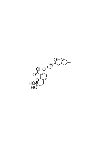 C[C@@H]1CN[C@H](CC(=O)N2CC(Oc3ccc4c(c3C(=O)O)O[B-](O)(O)CC4)C2)C1